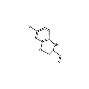 S=CC1COc2cc(Br)ccc2N1